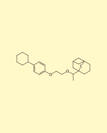 CC(OCCOc1ccc(C2CCCCC2)cc1)C12CCCC3(CC(C3)C1)C2